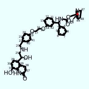 O=C(NC(c1ccccc1)c1cccc(OCCOc2ccc(CNC[C@@H](O)c3ccc(O)c4[nH]c(=O)ccc34)cc2)c1)O[C@H]1CN2CCC1CC2